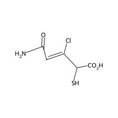 NC(=O)C=C(Cl)C(S)C(=O)O